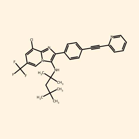 CC(C)(C)CC(C)(C)Nc1c(-c2ccc(C#Cc3ccccn3)cc2)nc2c(Cl)cc(C(F)(F)F)cn12